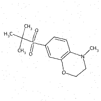 CN1CCOc2cc(S(=O)(=O)C(C)(C)C)ccc21